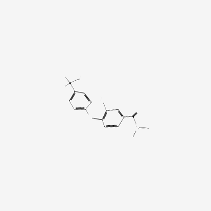 CN(C)C(=O)c1ccc(Oc2ccc(C(F)(F)F)cc2)c(F)c1